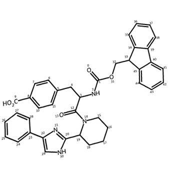 O=C(NC(Cc1ccc(C(=O)O)cc1)C(=O)N1CCCCC1c1nc(-c2ccccc2)c[nH]1)OCC1c2ccccc2-c2ccccc21